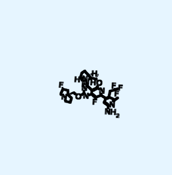 Cc1nc(N)cc(-c2nc3c4c(nc(OC[C@@]56CCCN5C[C@H](F)C6)nc4c2F)N2C[C@H]4CC[C@H](N4)[C@H]2[C@H](C)O3)c1CC(F)(F)F